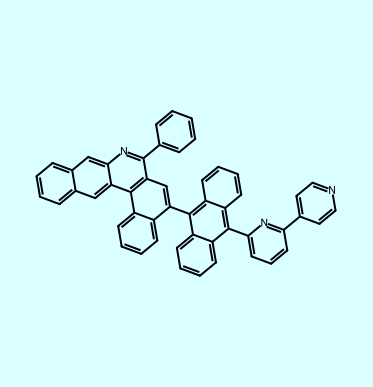 c1ccc(-c2nc3cc4ccccc4cc3c3c2cc(-c2c4ccccc4c(-c4cccc(-c5ccncc5)n4)c4ccccc24)c2ccccc23)cc1